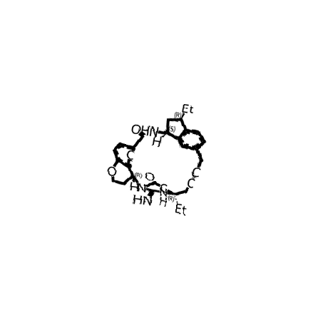 CC[C@@H]1C[C@@H]2NC(=O)c3ccc4c(c3)[C@@H](CCO4)N3C(=N)N[C@](CC)(CCCCc4ccc1c2c4)CC3=O